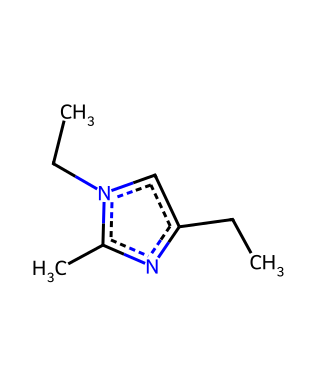 CCc1cn(CC)c(C)n1